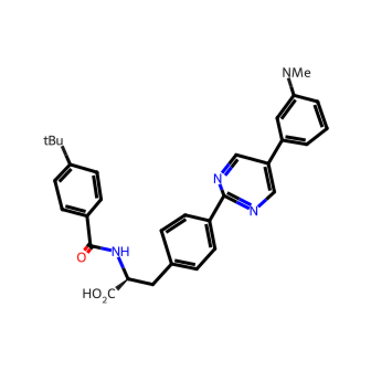 CNc1cccc(-c2cnc(-c3ccc(C[C@H](NC(=O)c4ccc(C(C)(C)C)cc4)C(=O)O)cc3)nc2)c1